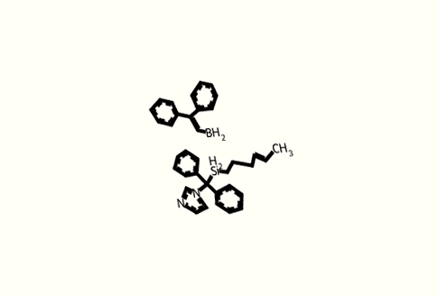 BC=C(c1ccccc1)c1ccccc1.CC=CCCC[SiH2]C(c1ccccc1)(c1ccccc1)n1ccnc1